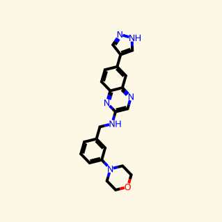 c1cc(CNc2cnc3cc(-c4cn[nH]c4)ccc3n2)cc(N2CCOCC2)c1